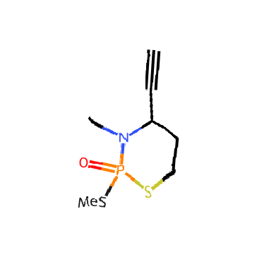 C#CC1CCSP(=O)(SC)N1C